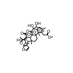 COC(=O)CC1C2(C)CC3(O)C(O)(C2O)C2OC(=O)/C(=C(\O)C(C)C)C4C(C)(C(OC(C)=O)c5ccoc5)CCC(O)(C42O)C13C